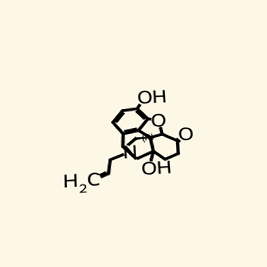 C=CCN1CC[C@@]23c4c5ccc(O)c4OC2C(=O)CCC3(O)C1C5